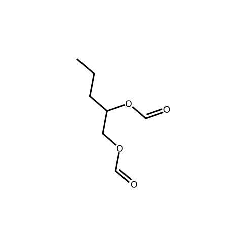 CCCC(COC=O)OC=O